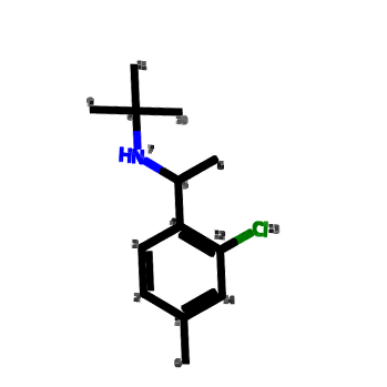 Cc1ccc(C(C)NC(C)(C)C)c(Cl)c1